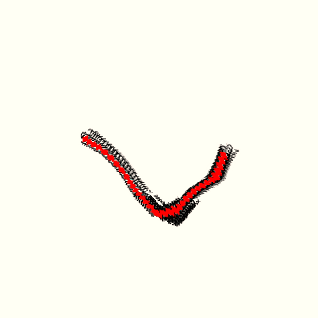 [Na+].[Na+].[Na+].[Na+].[Na+].[Na+].[Na+].[Na+].[Na+].[Na+].[Na+].[Na+].[Na+].[Na+].[Na+].[Na+].[Na+].[Na+].[Na+].[Na+].[S-2].[S-2].[S-2].[S-2].[S-2].[S-2].[S-2].[S-2].[S-2].[S-2].[S-2].[S-2].[S-2].[S-2].[S-2].[S-2].[S-2].[S-2].[S-2].[S-2].[S-2].[S-2].[S-2].[S-2].[S-2].[S-2].[S-2].[S-2].[S-2].[S-2].[S-2].[S-2].[S-2].[S-2].[S-2].[S-2].[S-2].[S-2].[S-2].[S-2].[S-2].[S-2].[S-2].[S-2].[S-2].[S-2].[S-2].[S-2].[S-2].[S-2]